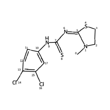 CN1CCSC1=NC(=S)Nc1ccc(Cl)c(Cl)c1